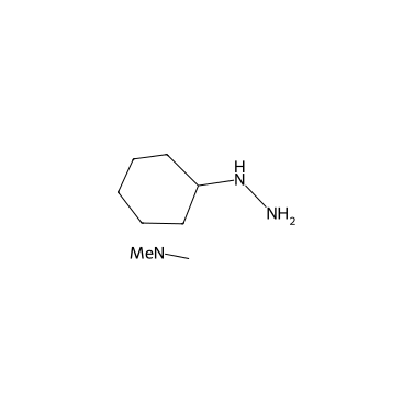 CNC.NNC1CCCCC1